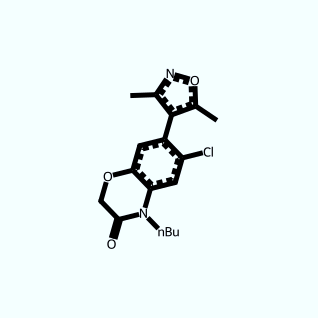 CCCCN1C(=O)COc2cc(-c3c(C)noc3C)c(Cl)cc21